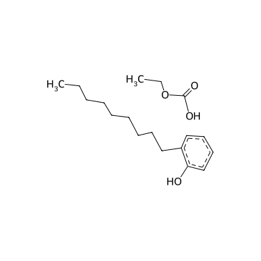 CCCCCCCCCc1ccccc1O.CCOC(=O)O